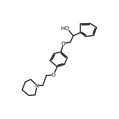 OC(COc1ccc(OCCN2CCCCC2)cc1)c1ccccc1